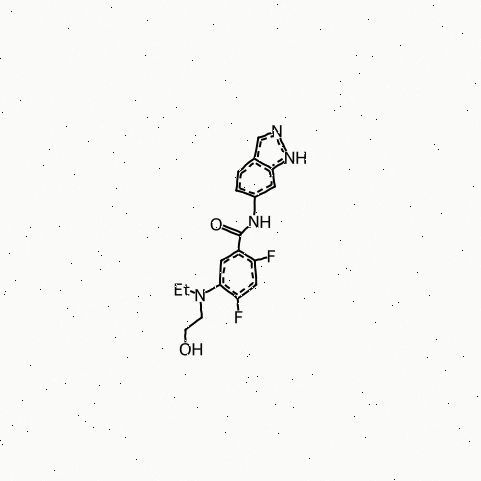 CCN(CCO)c1cc(C(=O)Nc2ccc3cn[nH]c3c2)c(F)cc1F